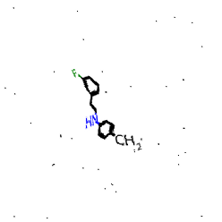 [CH2]c1ccc(NCCc2cccc(F)c2)cc1